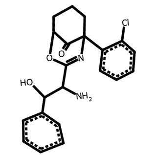 NC(C1=NC2(c3ccccc3Cl)CCCC(O1)C2=O)C(O)c1ccccc1